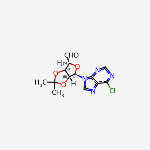 CC1(C)O[C@@H]2[C@@H](O1)[C@@H](C=O)O[C@H]2n1cnc2c(Cl)ncnc21